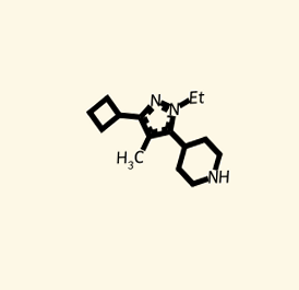 CCn1nc(C2CCC2)c(C)c1C1CCNCC1